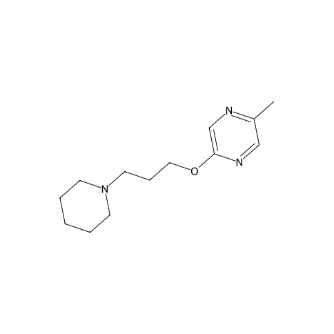 Cc1cnc(OCCCN2CCCCC2)cn1